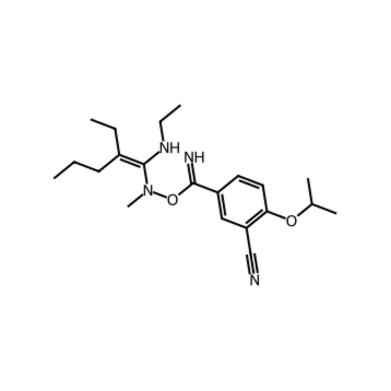 CCCC(CC)=C(NCC)N(C)OC(=N)c1ccc(OC(C)C)c(C#N)c1